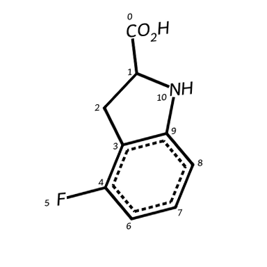 O=C(O)C1Cc2c(F)cccc2N1